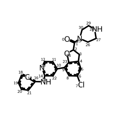 O=C(C1Cc2cc(Cl)cc(-c3ccnc(Nc4ccccc4)c3)c2O1)N1CCNCC1